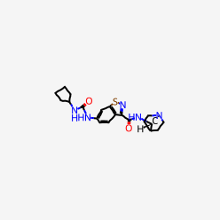 O=C(Nc1ccc2c(C(=O)N[C@@H]3CN4CCC3CC4)nsc2c1)NC1CCCC1